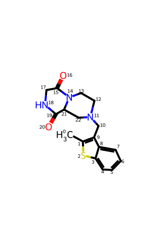 Cc1sc2ccccc2c1CN1CCN2C(=O)CNC(=O)C2C1